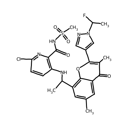 Cc1cc(C(C)Nc2ccc(Cl)nc2C(=O)NS(C)(=O)=O)c2oc(-c3cnn(C(C)F)c3)c(C)c(=O)c2c1